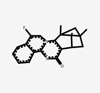 CC12CC3c4c(n5cc(F)c6ccccc6c5nc4=O)C(C)(C1)C32C